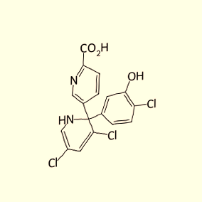 O=C(O)c1ccc(C2(c3ccc(Cl)c(O)c3)NC=C(Cl)C=C2Cl)cn1